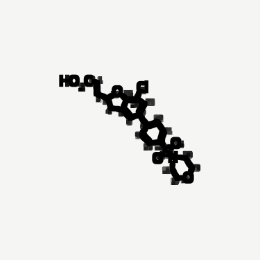 O=C(O)C=CC1Cc2cc(-c3ccc(S(=O)(=O)N4CCOCC4)cc3)cc(Cl)c2O1